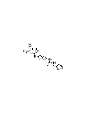 CC(C)(C)OC(=O)NC1CC2(CC(NC(=O)NCc3ccncc3)C2)C1